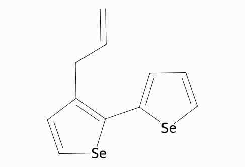 C=CCc1cc[se]c1-c1ccc[se]1